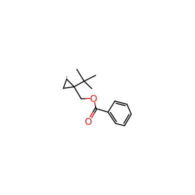 CC(C)(C)C1(COC(=O)c2ccccc2)[CH]C1